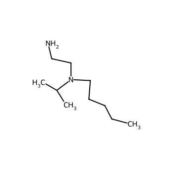 CCCCCN(CCN)C(C)C